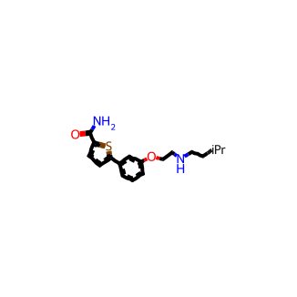 CC(C)CCNCCOc1cccc(-c2ccc(C(N)=O)s2)c1